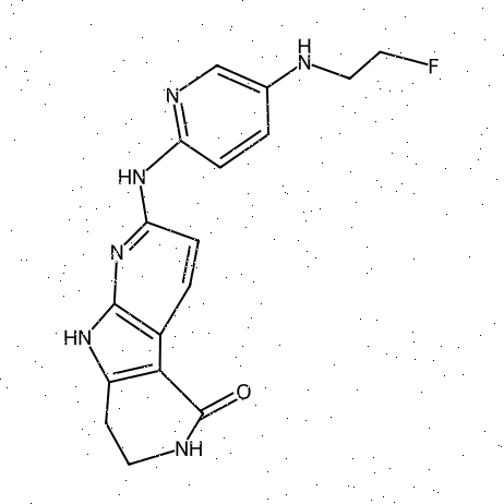 O=C1NCCc2[nH]c3nc(Nc4ccc(NCCF)cn4)ccc3c21